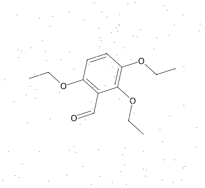 CCOc1ccc(OCC)c(OCC)c1C=O